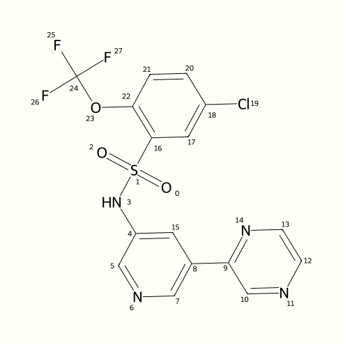 O=S(=O)(Nc1cncc(-c2cnccn2)c1)c1cc(Cl)ccc1OC(F)(F)F